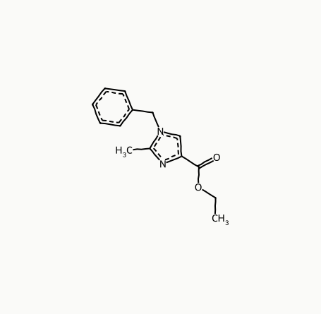 CCOC(=O)c1cn(Cc2ccccc2)c(C)n1